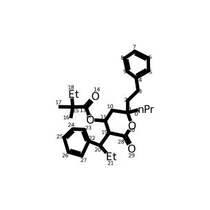 CCCC1(CCc2ccccc2)CC(OC(=O)C(C)(C)CC)C(C(CC)c2ccccc2)C(=O)O1